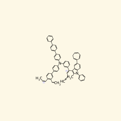 C#CC/C=C(/c1cccc(N(c2ccc(-c3ccc(-c4ccccc4)cc3)cc2)c2ccc(-c3ccc(/C=C\C)c(C=C)c3)cc2)c1)c1c(C)n(-c2ccccc2)c2ccc(C3=CCC=CC=C3)cc12